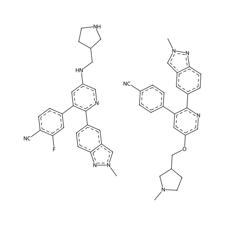 CN1CCC(COc2cnc(-c3ccc4nn(C)cc4c3)c(-c3ccc(C#N)cc3)c2)C1.Cn1cc2cc(-c3ncc(NCC4CCNC4)cc3-c3ccc(C#N)c(F)c3)ccc2n1